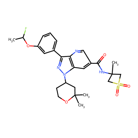 CC(F)Oc1cccc(-c2nn(C3CCOC(C)(C)C3)c3cc(C(=O)NC4(C)CS(=O)(=O)C4)cnc23)c1